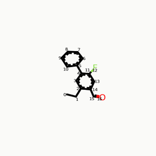 CCc1cc(-c2ccccc2)c(F)cc1C=O